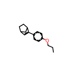 CCCOc1ccc(C2=CC3CCC2C3)cc1